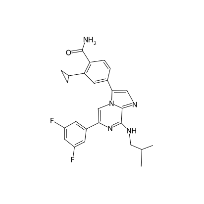 CC(C)CNc1nc(-c2cc(F)cc(F)c2)cn2c(-c3ccc(C(N)=O)c(C4CC4)c3)cnc12